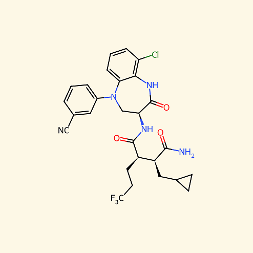 N#Cc1cccc(N2C[C@H](NC(=O)[C@H](CCC(F)(F)F)[C@H](CC3CC3)C(N)=O)C(=O)Nc3c(Cl)cccc32)c1